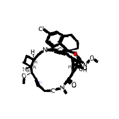 CONC(=O)[C@]1(O)C2=CC=C3OC[C@]4(CCCc5cc(Cl)ccc54)CN(C=C2)C[C@@H]2CC[C@H]2[C@@H](OC)/C=C/CCN(C)C(=O)C31